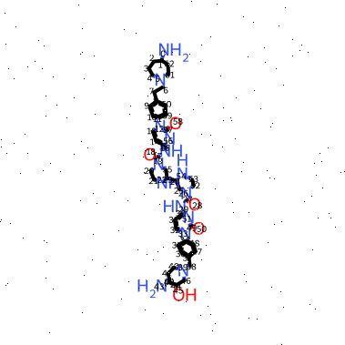 NC1CCCN(CCc2ccc(-n3ccc(NC(=O)N4CCNC(C5CN(C(=O)Nc6ccn(-c7ccc(CN8CC[C@@H](N)C(O)C8)cc7)c(=O)n6)CCN5)C4)nc3=O)cc2)CC1